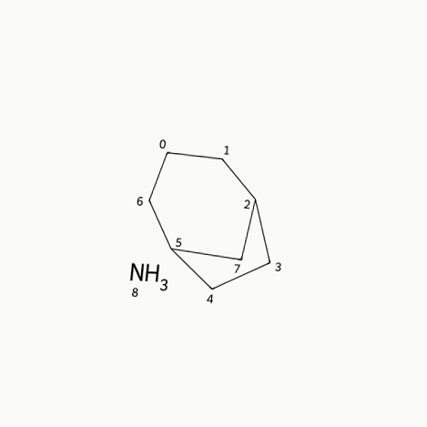 C1CC2CCC(C1)C2.N